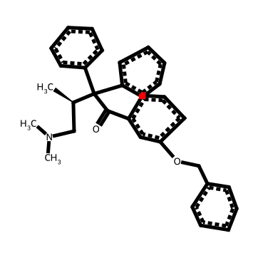 C[C@H](CN(C)C)C(C(=O)c1cccc(OCc2ccccc2)c1)(c1ccccc1)c1ccccc1